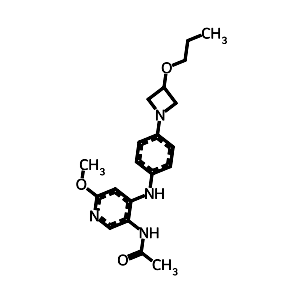 CCCOC1CN(c2ccc(Nc3cc(OC)ncc3NC(C)=O)cc2)C1